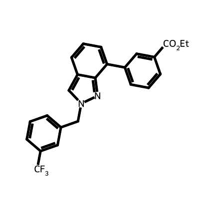 CCOC(=O)c1cccc(-c2cccc3cn(Cc4cccc(C(F)(F)F)c4)nc23)c1